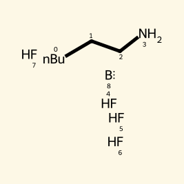 CCCCCCN.F.F.F.F.[B]